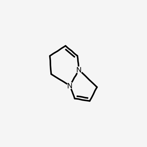 C1=CN2CC=CN2CC1